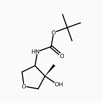 CC(C)(C)OC(=O)NC1COC[C@@]1(C)O